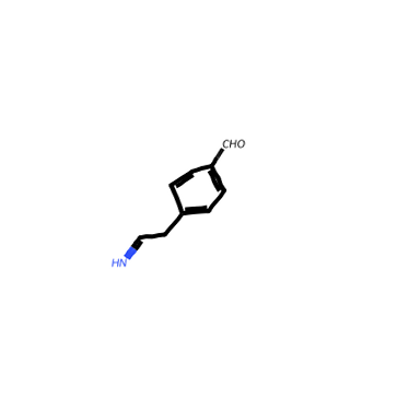 N=CCc1ccc(C=O)cc1